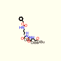 CC(C)COC(=O)CCC(NC(=O)N[C@@H](CCCCNC(=O)OCc1ccccc1)C(=O)OCC(C)C)C(=O)OCC(C)C